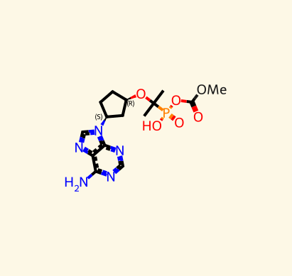 COC(=O)OP(=O)(O)C(C)(C)O[C@@H]1CC[C@H](n2cnc3c(N)ncnc32)C1